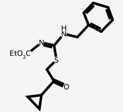 CCOC(=O)/N=C(/NCc1ccccc1)SCC(=O)C1CC1